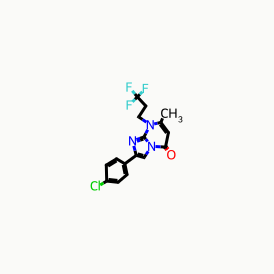 Cc1cc(=O)n2cc(-c3ccc(Cl)cc3)nc2n1CCC(F)(F)F